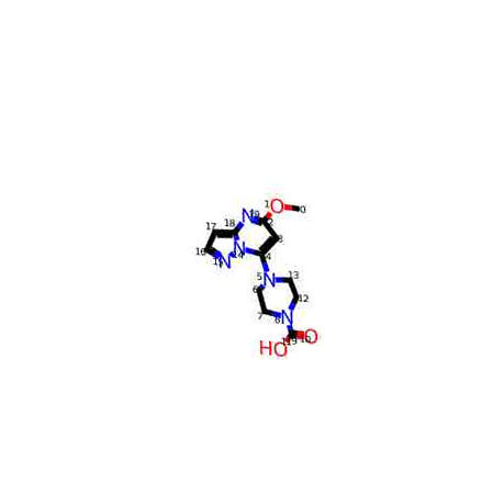 COc1cc(N2CCN(C(=O)O)CC2)n2nccc2n1